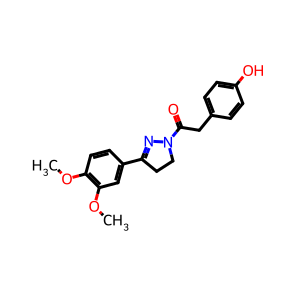 COc1ccc(C2=NN(C(=O)Cc3ccc(O)cc3)CC2)cc1OC